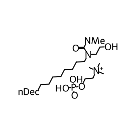 CCCCCCCCCCCCCCCCCCN(CCO)C(=O)NC.C[N+](C)(C)CCOP(=O)(O)O